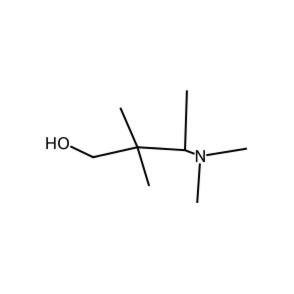 CC(N(C)C)C(C)(C)CO